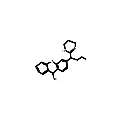 CCCC(C1=NCCCN1)c1ccc2c(c1)Oc1ccccc1C2N